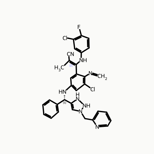 C=Nc1c(Cl)cc(N[C@H](C2=CN(Cc3ccccn3)NN2)c2ccccc2)cc1/C(Nc1ccc(F)c(Cl)c1)=C(\C)C#N